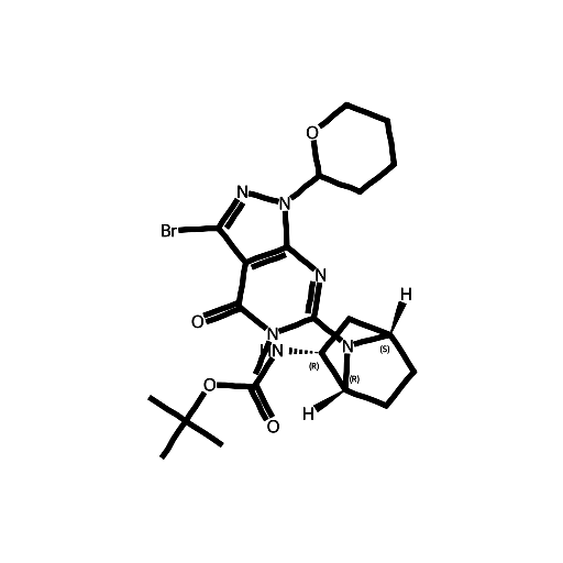 Cn1c(N2[C@H]3CC[C@@H]2[C@H](NC(=O)OC(C)(C)C)C3)nc2c(c(Br)nn2C2CCCCO2)c1=O